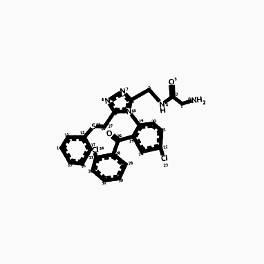 NCC(=O)NCc1nnc(CSc2ccccc2)n1-c1ccc(Cl)cc1C(=O)c1ccccc1Cl